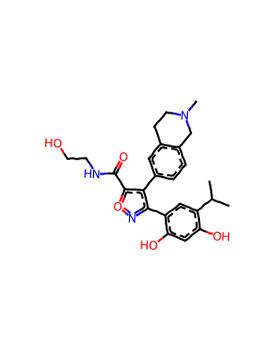 CC(C)c1cc(-c2noc(C(=O)NCCO)c2-c2ccc3c(c2)CCN(C)C3)c(O)cc1O